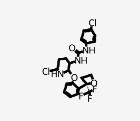 O=C(Nc1ccc(Cl)cc1)NC1CCC(Cl)NC1Oc1ccccc1[C@@]1(C(F)(F)F)CCO1